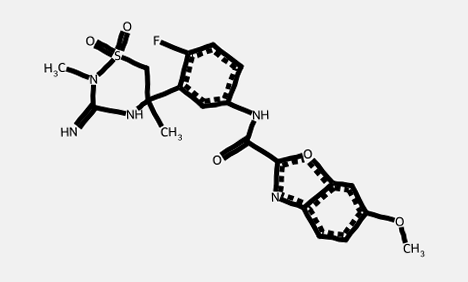 COc1ccc2nc(C(=O)Nc3ccc(F)c(C4(C)CS(=O)(=O)N(C)C(=N)N4)c3)oc2c1